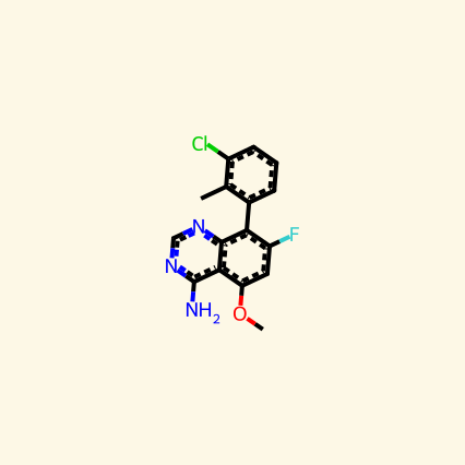 COc1cc(F)c(-c2cccc(Cl)c2C)c2ncnc(N)c12